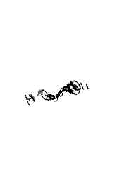 CC(Cc1cccc(OCC2CC(Oc3cccc(O)c3)C2)c1)C(=O)O